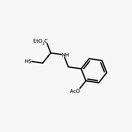 CCOC(=O)C(CS)NCc1ccccc1OC(C)=O